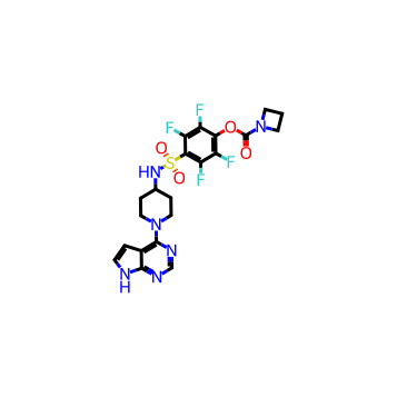 O=C(Oc1c(F)c(F)c(S(=O)(=O)NC2CCN(c3ncnc4[nH]ccc34)CC2)c(F)c1F)N1CCC1